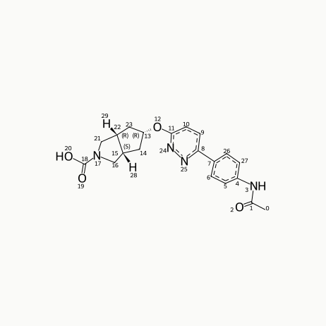 CC(=O)Nc1ccc(-c2ccc(O[C@@H]3C[C@@H]4CN(C(=O)O)C[C@@H]4C3)nn2)cc1